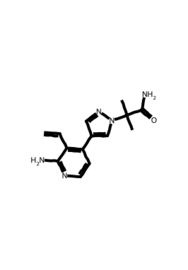 C=Cc1c(-c2cnn(C(C)(C)C(N)=O)c2)ccnc1N